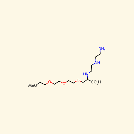 COCCOCCOCCOCC(NCCNCCN)C(=O)O